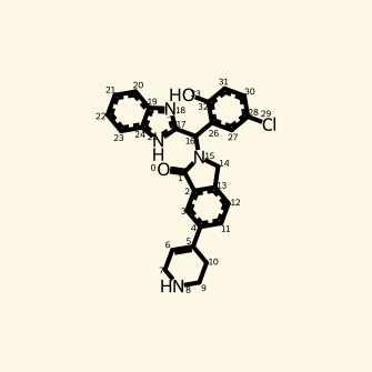 O=C1c2cc(C3=CCNCC3)ccc2CN1C(c1nc2ccccc2[nH]1)c1cc(Cl)ccc1O